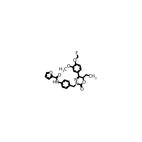 CCC1OC(=O)N(Cc2ccc(NC(=O)c3ccco3)cc2)N=C1c1ccc(OCF)c(OC)c1